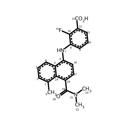 Cc1cccc2c(Nc3cccc(C(=O)O)c3F)ccc(C(=O)N(C)C)c12